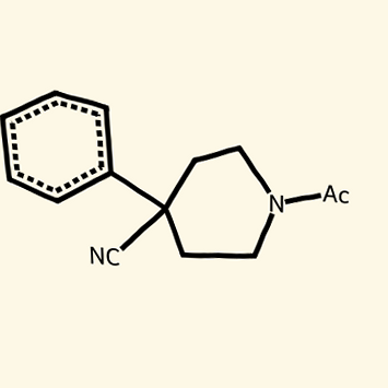 CC(=O)N1CCC(C#N)(c2ccccc2)CC1